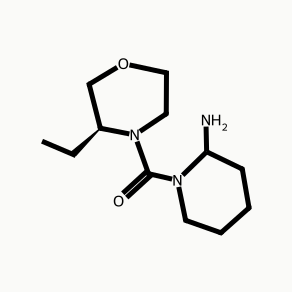 CC[C@H]1COCCN1C(=O)N1CCCCC1N